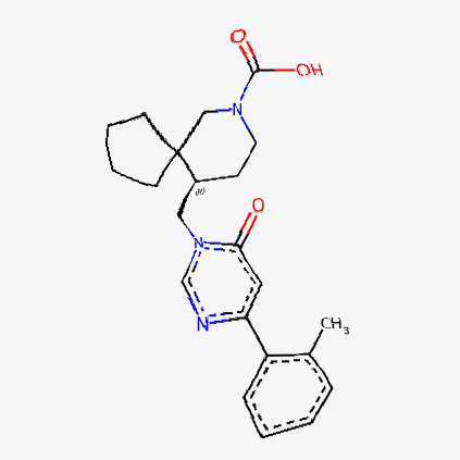 Cc1ccccc1-c1cc(=O)n(C[C@@H]2CCN(C(=O)O)CC23CCCC3)cn1